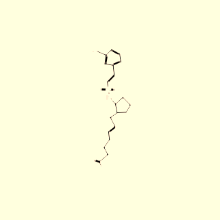 O=C(O)CCC/C=C/CC1CCCC1NS(=O)(=O)/C=C/c1cccc(Br)c1